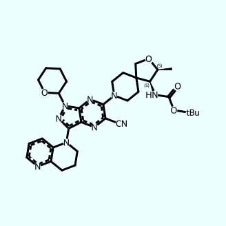 C[C@@H]1OCC2(CCN(c3nc4c(nc3C#N)c(N3CCCc5ncccc53)nn4C3CCCCO3)CC2)[C@@H]1NC(=O)OC(C)(C)C